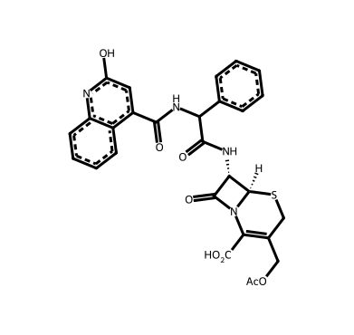 CC(=O)OCC1=C(C(=O)O)N2C(=O)[C@H](NC(=O)C(NC(=O)c3cc(O)nc4ccccc34)c3ccccc3)[C@H]2SC1